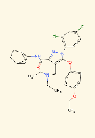 CCOc1ccc(Oc2c(CN(CC)CC)c(C(=O)NC3CC4CCC3C4)nn2-c2ccc(Cl)cc2Cl)cc1